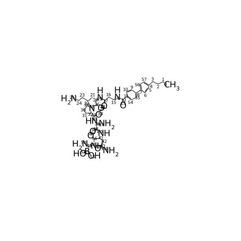 CCCCc1ccc(-c2ccc(C(=O)NCCC(=O)N[C@@H](CCCCN)C(=O)N3CCC[C@H]3C(=O)N[C@@H](N)C(=O)N[C@@H](CC(N)=O)C(=O)N[C@@H](N)B(O)O)cc2)cc1